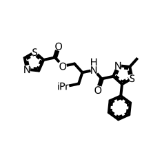 Cc1nc(C(=O)NC(COC(=O)c2cncs2)CC(C)C)c(-c2ccccc2)s1